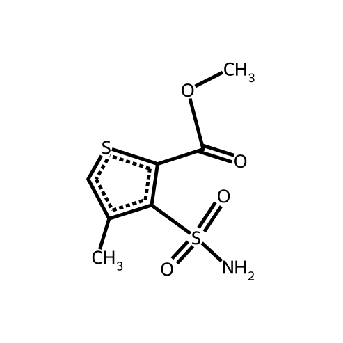 COC(=O)c1scc(C)c1S(N)(=O)=O